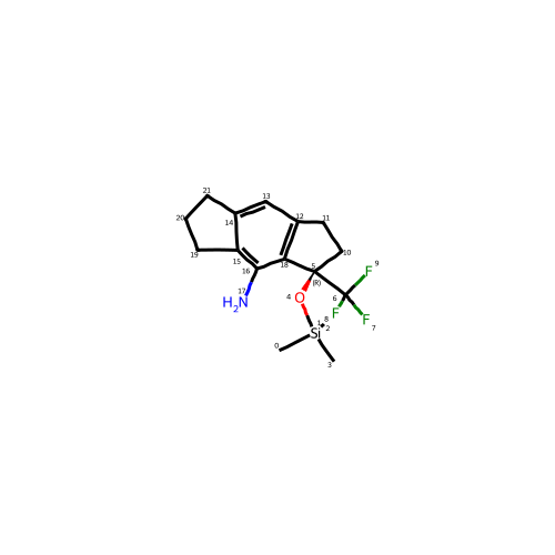 C[Si](C)(C)O[C@]1(C(F)(F)F)CCc2cc3c(c(N)c21)CCC3